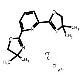 CC1(C)COC(c2cccc(C3=NC(C)(C)CO3)n2)=N1.[Cl-].[Cl-].[Cl-].[V+3]